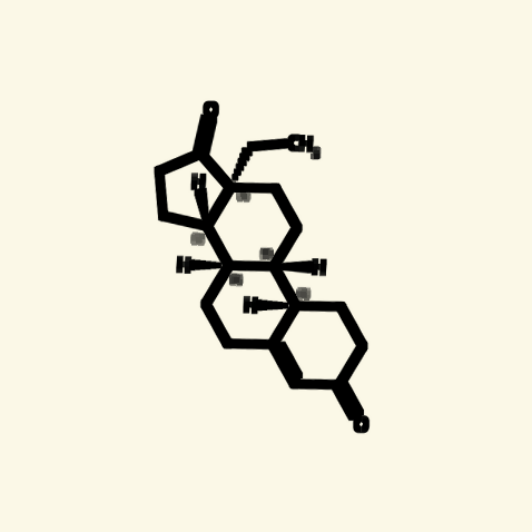 CC[C@]12CC[C@H]3[C@@H](CCC4=CC(=O)CC[C@@H]43)[C@@H]1CCC2=O